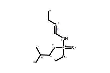 CC/N=C/NP(=S)(OC)SCC(C)C